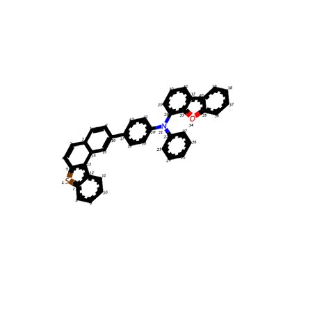 C1=CC2C=Cc3sc4ccccc4c3C2C=C1c1ccc(N(c2ccccc2)c2cccc3c2oc2ccccc23)cc1